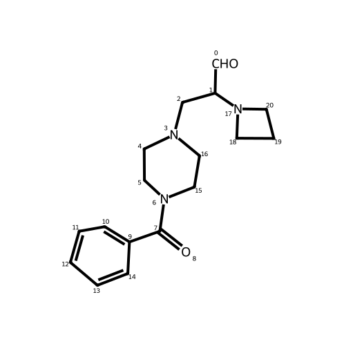 O=CC(CN1CCN(C(=O)c2ccccc2)CC1)N1CCC1